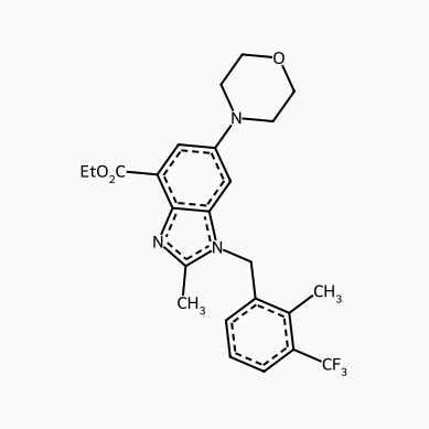 CCOC(=O)c1cc(N2CCOCC2)cc2c1nc(C)n2Cc1cccc(C(F)(F)F)c1C